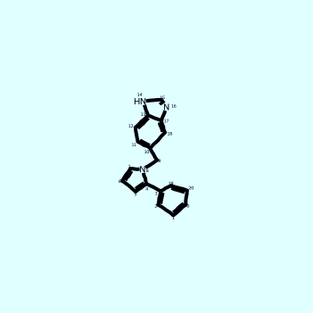 c1ccc(-c2cccn2Cc2ccc3[nH]cnc3c2)cc1